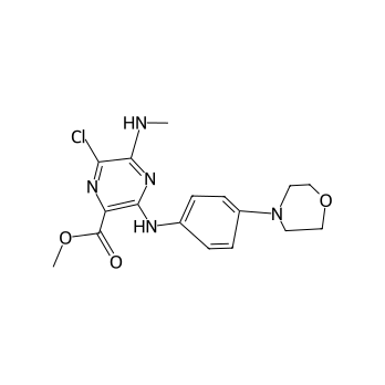 CNc1nc(Nc2ccc(N3CCOCC3)cc2)c(C(=O)OC)nc1Cl